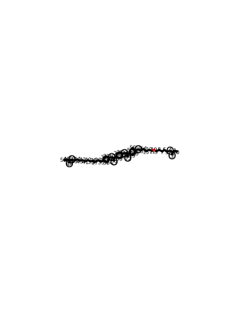 C=CC(=O)OCCCCCCCCCCCOc1ccc(C(=O)OC2CCC(C(=O)Oc3ccc(CCCCCCCCCCCOC(=O)C=C)cc3)CC2)cc1